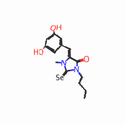 CCCCN1C(=O)C(=Cc2cc(O)cc(O)c2)N(C)C1=[Se]